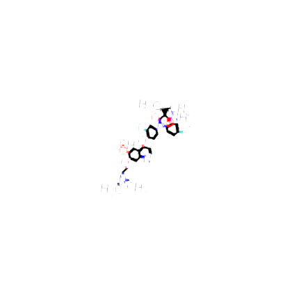 CCN(CC)CCOc1cc2nccc(Oc3ccc(N(C(=O)C4(C(N)=O)[C@H](C)[C@@H]4C)c4ccc(F)cc4)cc3F)c2cc1OC